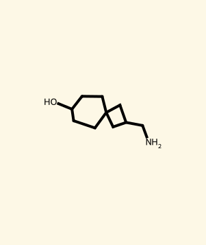 NCC1CC2(CCC(O)CC2)C1